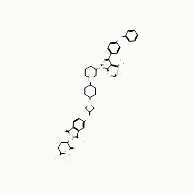 Nc1ncnc2c1c(-c1ccc(Oc3ccccc3)cc1)nn2[C@@H]1CCCN(C2CCC(N3CC(Oc4ccc5c(c4)C(=O)N(C4CCC(=O)NC4=O)C5=O)C3)CC2)C1